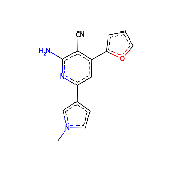 Cn1ccc(-c2cc(-c3ccco3)c(C#N)c(N)n2)c1